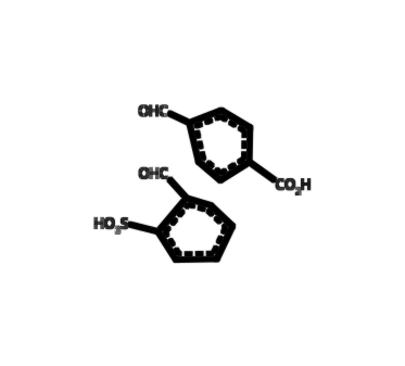 O=Cc1ccc(C(=O)O)cc1.O=Cc1ccccc1S(=O)(=O)O